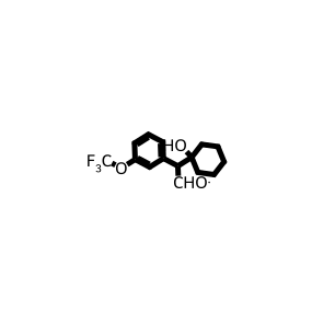 O=[C]C(c1cccc(OC(F)(F)F)c1)C1(O)CCCCC1